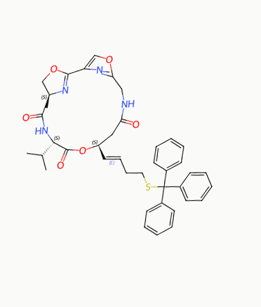 CC(C)[C@@H]1NC(=O)[C@]2(C)COC(=N2)c2coc(n2)CNC(=O)C[C@@H](/C=C/CCSC(c2ccccc2)(c2ccccc2)c2ccccc2)OC1=O